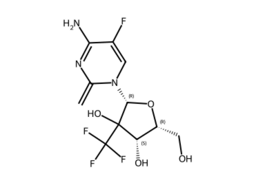 C=C1N=C(N)C(F)=CN1[C@@H]1O[C@H](CO)[C@H](O)C1(O)C(F)(F)F